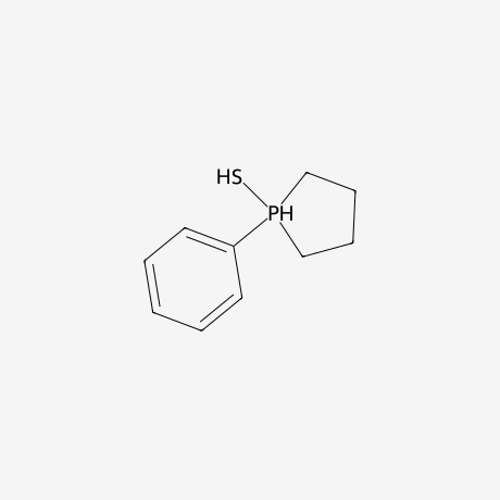 S[PH]1(c2ccccc2)CCCC1